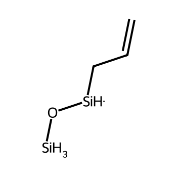 C=CC[SiH]O[SiH3]